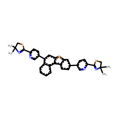 CC1(C)CSC(c2ccc(-c3ccc4c(c3)sc3cc(-c5ccc(C6=NC(C)(C)CS6)nc5)c5ccccc5c34)cn2)=N1